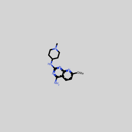 COc1ccc2c(N)nc(NC3CCN(C)CC3)nc2n1